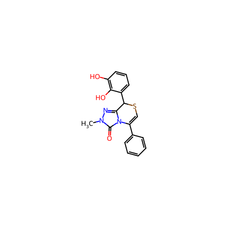 Cn1nc2n(c1=O)C(c1ccccc1)=CSC2c1cccc(O)c1O